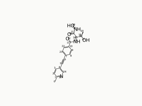 Cc1ccc(C#Cc2ccc(C(=O)N[C@H](C(=O)NO)[C@@H](C)O)cc2)cn1